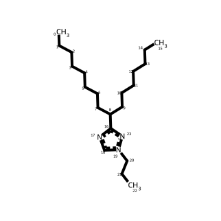 CCCCCCCCC(CCCCCCC)c1ncn(CCC)n1